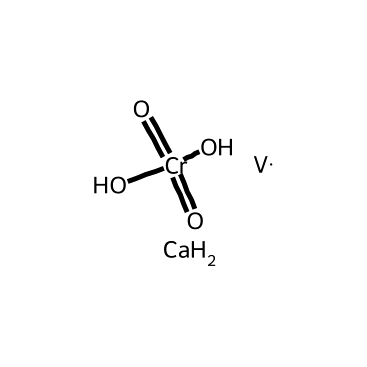 [CaH2].[O]=[Cr](=[O])([OH])[OH].[V]